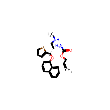 C=CCOC(N)=O.CNCC[C@H](Oc1cccc2ccccc12)c1cccs1